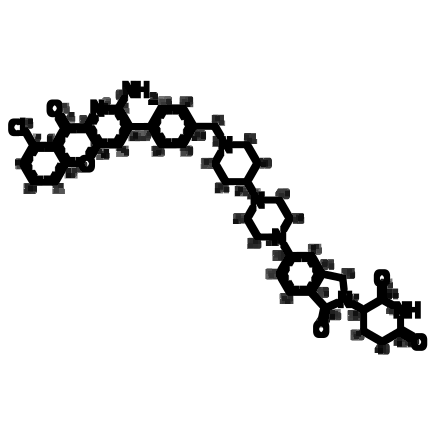 Nc1nc2c(=O)c3c(Cl)cccc3oc2cc1-c1ccc(CN2CCC(N3CCN(c4ccc5c(c4)CN(C4CCC(=O)NC4=O)C5=O)CC3)CC2)cc1